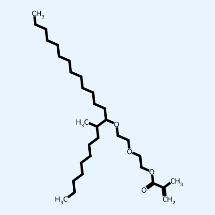 C=C(C)C(=O)OCCOCCOC(CCCCCCCCCCCCC)C(C)CCCCCCCC